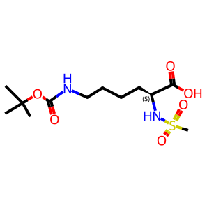 CC(C)(C)OC(=O)NCCCC[C@H](NS(C)(=O)=O)C(=O)O